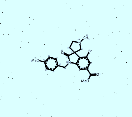 COC(=O)c1cc(Br)c2c(c1)N(Cc1ccc(OC)cc1)C(=O)C21CCN(C)C1